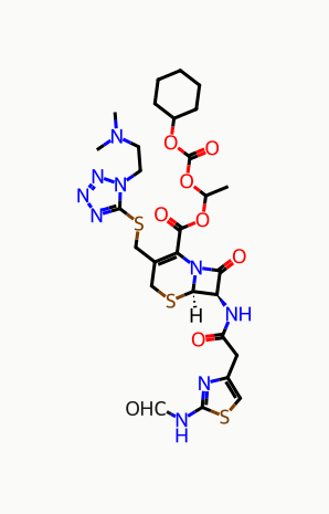 CC(OC(=O)OC1CCCCC1)OC(=O)C1=C(CSc2nnnn2CCN(C)C)CS[C@@H]2[C@H](NC(=O)Cc3csc(NC=O)n3)C(=O)N12